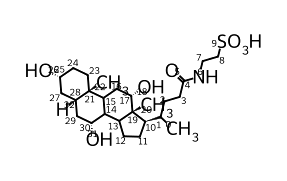 CC(CCC(=O)NCCS(=O)(=O)O)[C@H]1CCC2C3C(C[C@H](O)[C@@]21C)[C@@]1(C)CC[C@@H](O)C[C@H]1C[C@H]3O